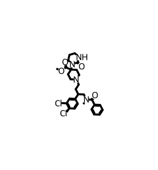 COC(=O)C1(N2CCCNC2=O)CCN(CCC(CN(C)C(=O)c2ccccc2)c2ccc(Cl)c(Cl)c2)CC1